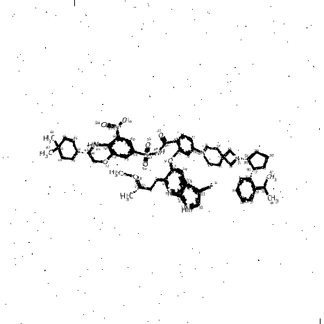 CO[C@@H](C)CCc1nc2[nH]cc(F)c2cc1Oc1cc(N2CCC3(CC2)CN([C@@H]2CCC[C@@H]2c2ccccc2C(C)C)C3)ccc1C(=O)NS(=O)(=O)c1cc2c(c([N+](=O)[O-])c1)N[C@@H](C1CCC(C)(C)CC1)CO2